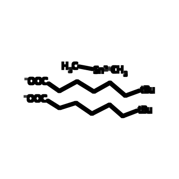 CC(C)(C)CCCCCC(=O)[O-].CC(C)(C)CCCCCC(=O)[O-].[CH3][Sn+2][CH3]